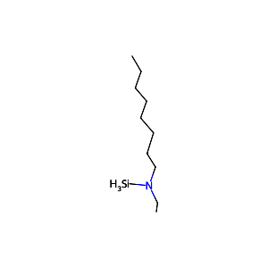 CCCCCCCCN([SiH3])CC